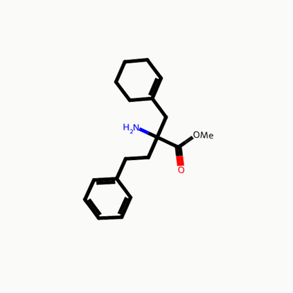 COC(=O)C(N)(CCc1ccccc1)CC1=CCCCC1